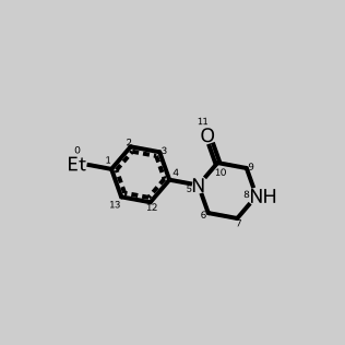 CCc1ccc(N2CCNCC2=O)cc1